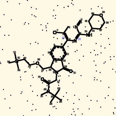 C=N/C(=N\C(=C(/C)Cl)c1ccc2c(c1)C(=O)N(CC(=O)N(C)C(C)(C)C)C2COCC[Si](C)(C)C)NC1CCOCC1